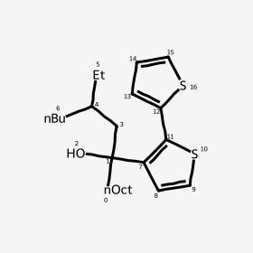 CCCCCCCCC(O)(CC(CC)CCCC)c1ccsc1-c1cccs1